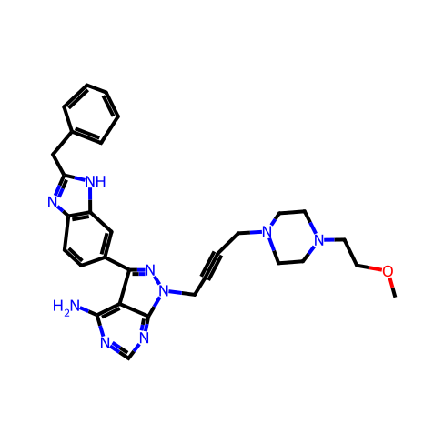 COCCN1CCN(CC#CCn2nc(-c3ccc4nc(Cc5ccccc5)[nH]c4c3)c3c(N)ncnc32)CC1